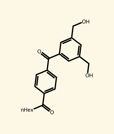 CCCCCCC(=O)c1ccc(C(=O)c2cc(CO)cc(CO)c2)cc1